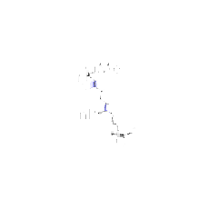 CCC/C(=C\CC/C(C)=C/C(=O)OC)CCCC1(C)OC1C